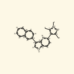 Cc1nn(C)c(C)c1-c1ccc2occ(-c3ccc4ccccc4c3)c2n1